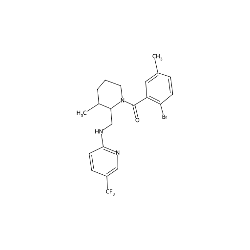 Cc1ccc(Br)c(C(=O)N2CCCC(C)C2CNc2ccc(C(F)(F)F)cn2)c1